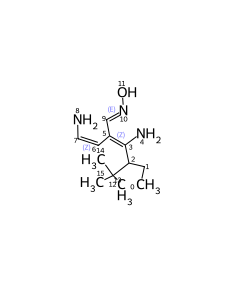 CCC(/C(N)=C(\C=C/N)/C=N/O)C(C)(C)C